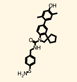 Cc1cc(-c2ccc3c(c2)C2(CCCC2)CN3C(=O)NCc2ccc(SN)cc2)c(C)cc1O